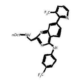 CCCCCCCCNCc1nc(Nc2ccc(C(F)(F)F)cc2)c2ccc(-c3ncccc3C(F)(F)F)cc2n1